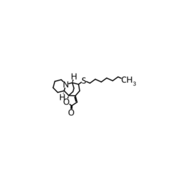 CCCCCCCSC1CC2=CC(=O)O[C@@]23CC[C@@H]1N1CCCC[C@@H]13